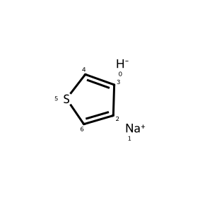 [H-].[Na+].c1ccsc1